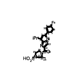 CC(C)c1cc(-c2ccc(F)cc2)nn2cc(C(=O)N3CCN(C(=O)O)C[C@@H]3C)nc12